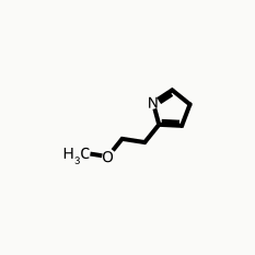 COCCC1=CCC=N1